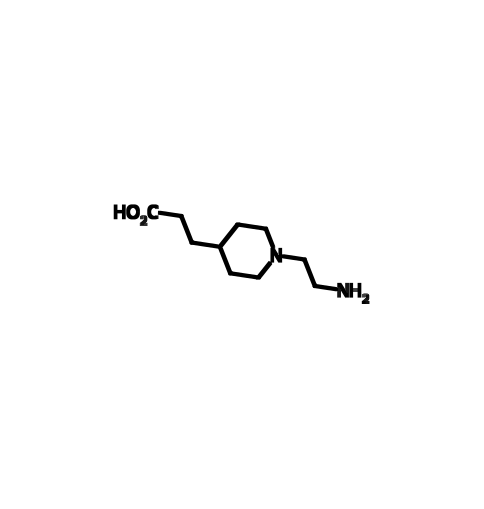 NCCN1CCC(CCC(=O)O)CC1